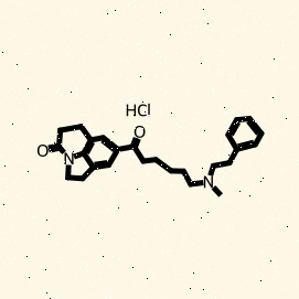 CN(CCCCCC(=O)c1cc2c3c(c1)CCN3C(=O)CC2)CCc1ccccc1.Cl